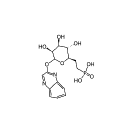 O=P(O)(O)CC[C@H]1OC(Oc2cnc3ccccc3n2)[C@@H](O)[C@@H](O)[C@@H]1O